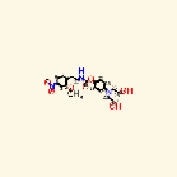 COc1cc([N+](=O)[O-])ccc1CCNC(=O)Oc1ccc(N(CCO)CCO)cc1